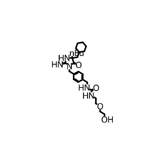 CCCCC1(CC2CCCCC2)NC(=N)N(Cc2ccc(CNC(=O)NCCOCCO)cc2)C1=O